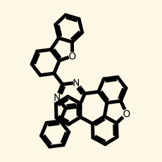 C1=Cc2c(oc3ccccc23)C(c2nc(-c3ccccc3)nc(-c3cccc4oc5cccc(-c6ccccc6)c5c34)n2)C1